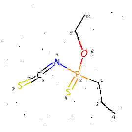 CCCP(=S)(N=C=S)OCC